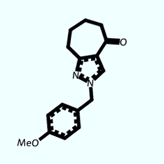 COc1ccc(Cn2cc3c(n2)CCCCC3=O)cc1